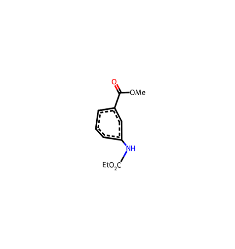 CCOC(=O)Nc1cccc(C(=O)OC)c1